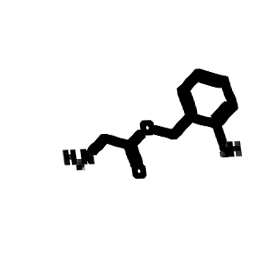 NCC(=O)OCc1ccccc1S